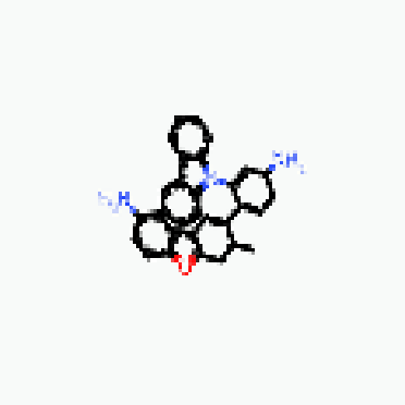 CC1Cc2oc3ccc(N)cc3c2C=C1C1=CCC(N)C=C1n1c2ccccc2c2ccccc21